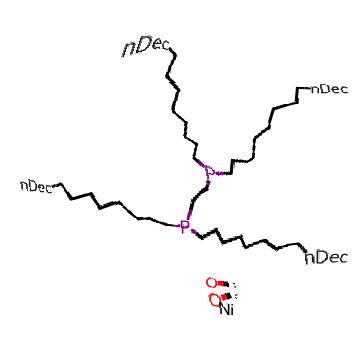 CCCCCCCCCCCCCCCCCCP(CCCCCCCCCCCCCCCCCC)CCP(CCCCCCCCCCCCCCCCCC)CCCCCCCCCCCCCCCCCC.[C]=O.[C]=O.[Ni]